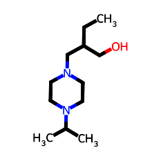 CCC(CO)CN1CCN(C(C)C)CC1